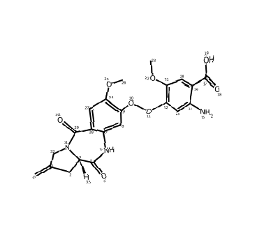 C=C1C[C@H]2C(=O)Nc3cc(OOc4cc(N)c(C(=O)O)cc4OC)c(OC)cc3C(=O)N2C1